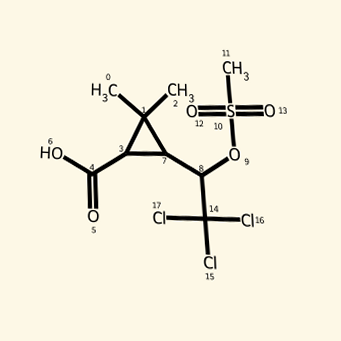 CC1(C)C(C(=O)O)C1C(OS(C)(=O)=O)C(Cl)(Cl)Cl